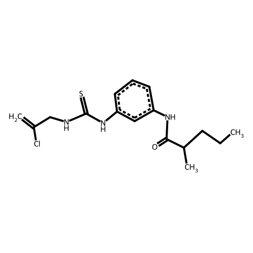 C=C(Cl)CNC(=S)Nc1cccc(NC(=O)C(C)CCC)c1